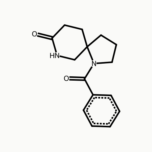 O=C1CCC2(CCCN2C(=O)c2ccccc2)CN1